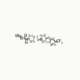 CC(C)(C)OC(=O)N[C@H]1CC[C@H](CCN2CCC(Cc3cccc(C(F)(F)F)c3)CC2)CC1